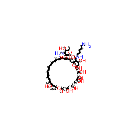 C[C@@H]1OC(=O)CC(O)CC(O)CCC(O)C(O)CC(O)CC2(O)C[C@H](O)C(C(=O)NCCCCCN)[C@H](CC(O[C@@H]3O[C@H](C)C(O)[C@H](N)[C@@H]3O)/C=C/C=C/C=C/C=C/C=C/C=C/C=C/[C@H](C)C(O)[C@H]1C)O2